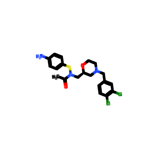 CC(=O)N(C[C@@H]1CN(Cc2ccc(Cl)c(Cl)c2)CCO1)Sc1ccc(N)cc1